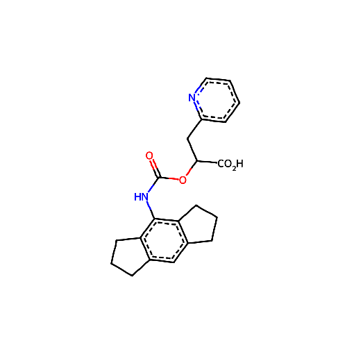 O=C(Nc1c2c(cc3c1CCC3)CCC2)OC(Cc1ccccn1)C(=O)O